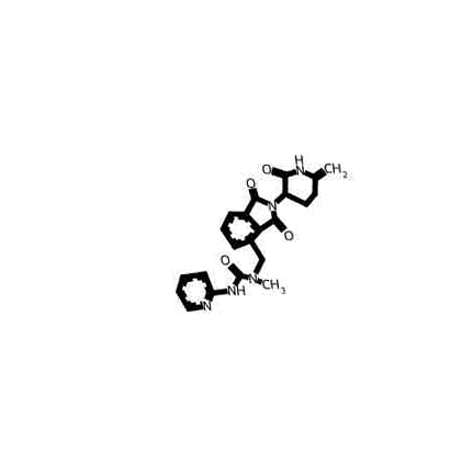 C=C1CCC(N2C(=O)c3cccc(CN(C)C(=O)Nc4ccccn4)c3C2=O)C(=O)N1